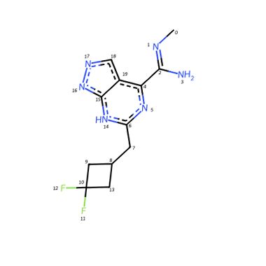 CN=C(N)c1nc(CC2CC(F)(F)C2)[nH]c2nncc1-2